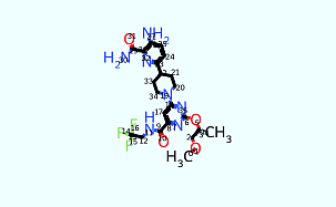 COC[C@@H](C)Oc1nc(C(=O)NCC(F)(F)F)cc(N2CCC(c3ccc(N)c(C(N)=O)n3)CC2)n1